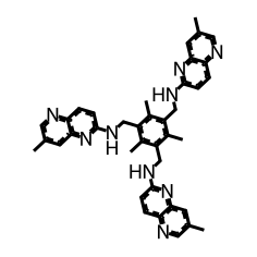 Cc1cnc2ccc(NCc3c(C)c(CNc4ccc5ncc(C)cc5n4)c(C)c(CNc4ccc5ncc(C)cc5n4)c3C)nc2c1